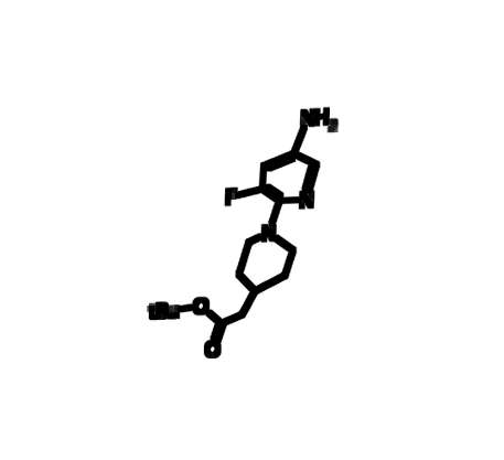 CC(C)(C)OC(=O)CC1CCN(c2ncc(N)cc2F)CC1